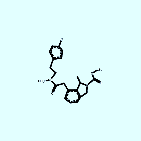 CC1c2c(CC(=O)N(CCc3ccc(Cl)cc3)C(=O)O)cccc2CN1C(=O)OC(C)(C)C